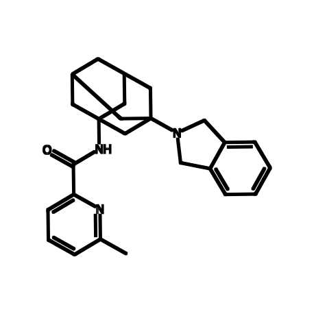 Cc1cccc(C(=O)NC23CC4CC(C2)CC(N2Cc5ccccc5C2)(C4)C3)n1